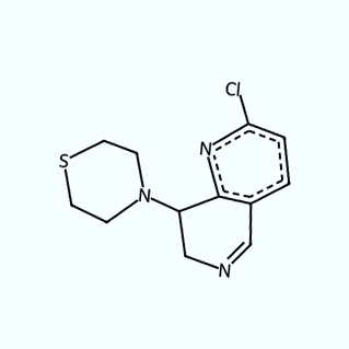 Clc1ccc2c(n1)C(N1CCSCC1)CN=C2